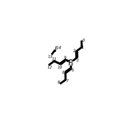 CCC=CP(C=CCC)C=CCC.CI